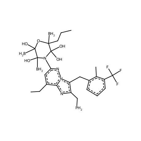 BC1(O)OC(B)(CCC)C(O)(O)N(c2cc(CC)c3nc(CP)c(Cc4cccc(C(F)(F)F)c4C)n3n2)C1(B)O